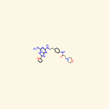 Nc1nc(NCCc2ccc(NC(=O)CCN3CCOCC3)cc2)nc2nc(-c3ccco3)nn12